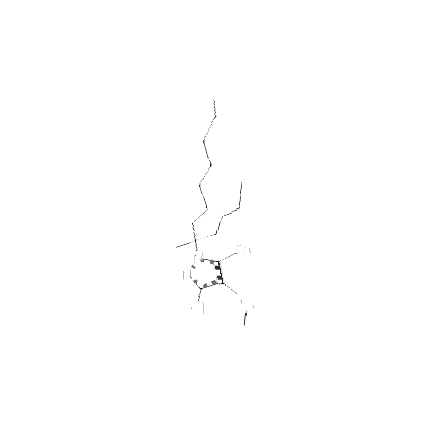 CCCCCCCC(C)(CCCC)n1nc(Cl)c(OC)c1Br